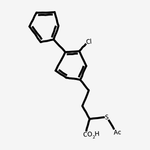 CC(=O)SC(CCc1ccc(-c2ccccc2)c(Cl)c1)C(=O)O